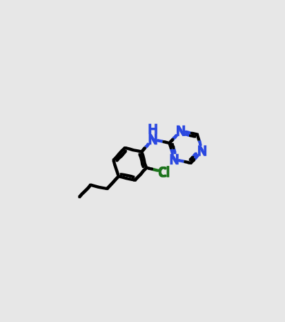 CCCc1ccc(Nc2ncncn2)c(Cl)c1